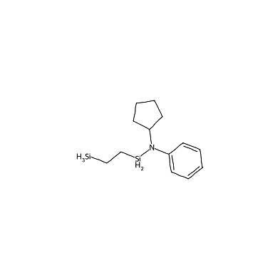 [SiH3]CC[SiH2]N(c1ccccc1)C1CCCC1